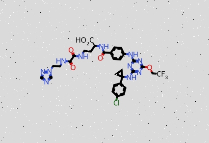 O=C(NCC[C@H](NC(=O)c1ccc(Nc2nc(NC3(c4ccc(Cl)cc4)CC3)nc(OCC(F)(F)F)n2)cc1)C(=O)O)C(=O)NCCn1cncn1